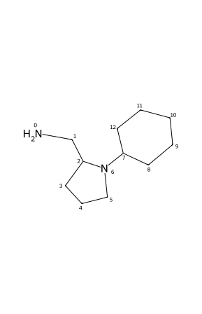 NCC1CCCN1C1CCCCC1